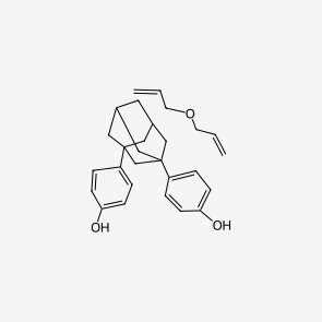 C=CCOCC=C.Oc1ccc(C23CC4CC(C2)CC(c2ccc(O)cc2)(C4)C3)cc1